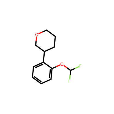 FC(F)Oc1ccccc1C1CCCOC1